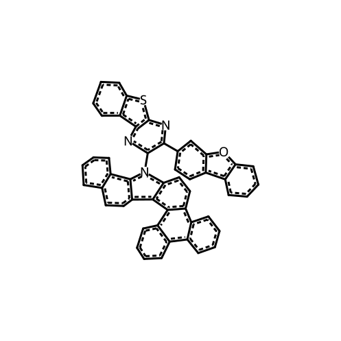 c1ccc2c(c1)ccc1c3c4c5ccccc5c5ccccc5c4ccc3n(-c3nc4c(nc3-c3ccc5c(c3)oc3ccccc35)sc3ccccc34)c21